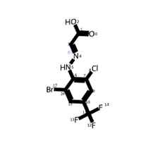 O=C(O)/C=N/Nc1c(Cl)cc(C(F)(F)F)cc1Br